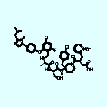 C[C@H](NCc1c(F)cc(Cl)cc1Oc1ccc(-c2cnc(CN(C)C)n2C)cc1)C(=O)N[C@@H](CO)C(=O)N(C)[C@@]1(Cc2ccc(Cl)cc2)CCCN(C(=O)[C@@H](CC(=O)O)Cc2cccc[n+]2[O-])C1